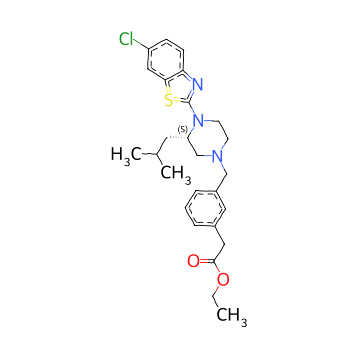 CCOC(=O)Cc1cccc(CN2CCN(c3nc4ccc(Cl)cc4s3)[C@@H](CC(C)C)C2)c1